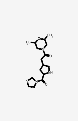 CC1CN(C(=O)CC2CNC(C(=O)N3CCSC3)C2)CC(C)O1